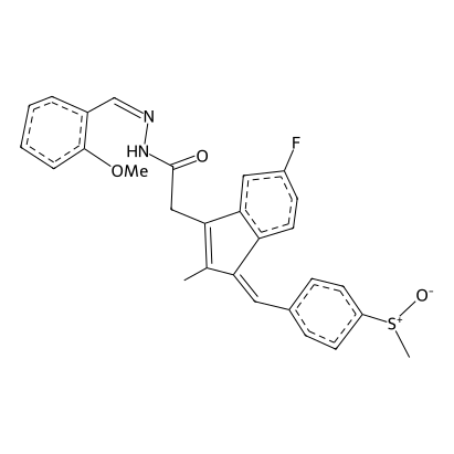 COc1ccccc1/C=N\NC(=O)CC1=C(C)/C(=C/c2ccc([S+](C)[O-])cc2)c2ccc(F)cc21